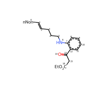 CCCCCCCCCC=CCCCNc1ccccc1C(=O)CC(=O)OCC